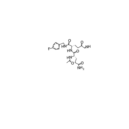 CC(=O)N[C@@H](CCC(N)=O)C(=O)N[C@@H](CCC(=O)C=N)C(=O)NCc1ccc(F)cc1